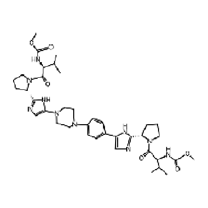 COC(=O)N[C@H](C(=O)N1CCC[C@H]1c1ncc(-c2ccc(N3CCN(c4cnc([C@@H]5CCCN5C(=O)[C@@H](NC(=O)OC)C(C)C)[nH]4)CC3)cc2)[nH]1)C(C)C